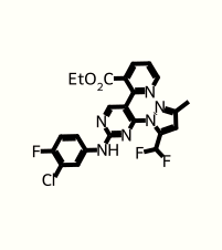 CCOC(=O)c1cccnc1-c1cnc(Nc2ccc(F)c(Cl)c2)nc1-n1nc(C)cc1C(F)F